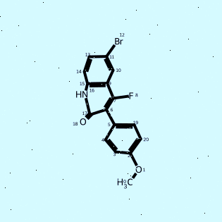 COc1ccc(-c2c(F)c3cc(Br)ccc3[nH]c2=O)cc1